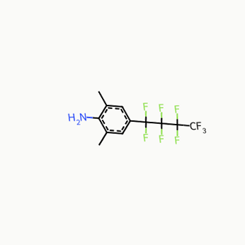 Cc1cc(C(F)(F)C(F)(F)C(F)(F)C(F)(F)F)cc(C)c1N